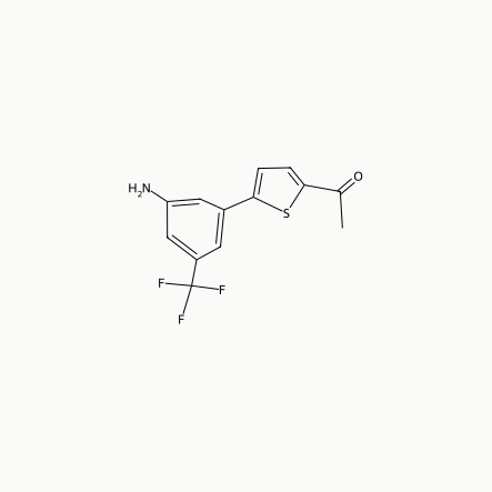 CC(=O)c1ccc(-c2cc(N)cc(C(F)(F)F)c2)s1